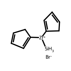 [Br-].[SiH3][Zr+]([C]1=CC=CC1)[C]1=CC=CC1